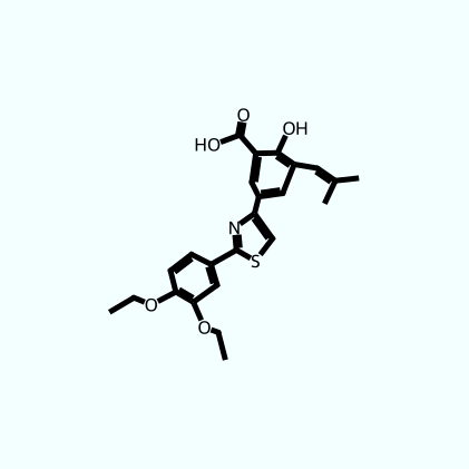 CCOc1ccc(-c2nc(-c3cc(C=C(C)C)c(O)c(C(=O)O)c3)cs2)cc1OCC